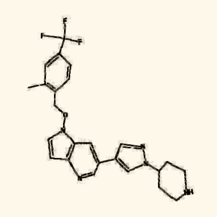 Cc1cc(C(F)(F)F)ccc1COn1ccc2ncc(-c3cnn(C4CCNCC4)c3)cc21